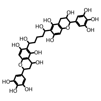 Oc1cc(C2CC(O)c3c(cc(O)c(C(O)CCCC(O)c4c(O)cc5c(c4O)CC(O)C(c4cc(O)c(O)c(O)c4)O5)c3O)O2)cc(O)c1O